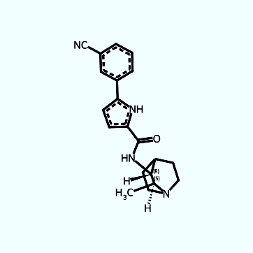 C[C@H]1[C@H](NC(=O)c2ccc(-c3cccc(C#N)c3)[nH]2)C2CCN1CC2